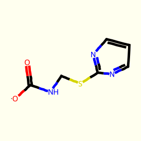 [O]C(=O)NCSc1ncccn1